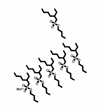 CCCCOP(=O)([O-])CC(CC)CCCC.CCCCOP(=O)([O-])CC(CC)CCCC.CCCCOP(=O)([O-])CC(CC)CCCC.CCCCOP(=O)([O-])CC(CC)CCCC.CCCCOP(=O)([O-])CC(CC)CCCC.CCCCOP(=O)([O-])CC(CC)CCCC.[Mo+6]